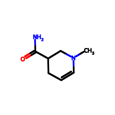 CN1C=CCC(C(N)=O)C1